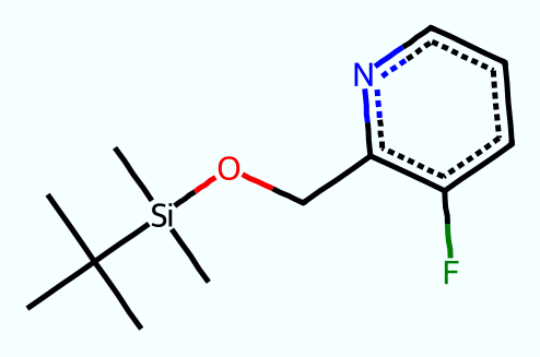 CC(C)(C)[Si](C)(C)OCc1ncccc1F